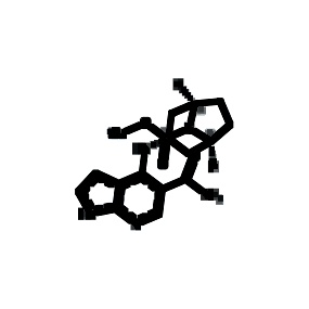 CC(C)(C)OC(=O)N1[C@@H]2CC[C@H]1C[C@H](Nc1c(C(N)=O)cnc3[nH]ccc13)C2